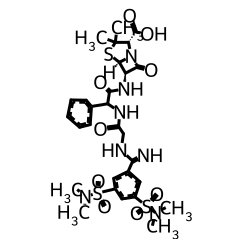 CN(C)S(=O)(=O)c1cc(C(=N)NCC(=O)NC(C(=O)N[C@@H]2C(=O)N3[C@@H]2SC(C)(C)[C@@H]3C(=O)O)c2ccccc2)cc(S(=O)(=O)N(C)C)c1